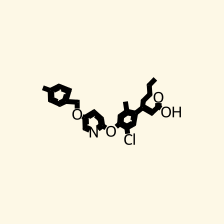 CCCC/C(=C\C(=O)O)c1cc(Cl)c(Oc2ccc(OCc3ccc(C)cc3)cn2)cc1C